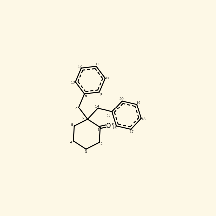 O=C1CCCCC1(Cc1ccccc1)Cc1ccccc1